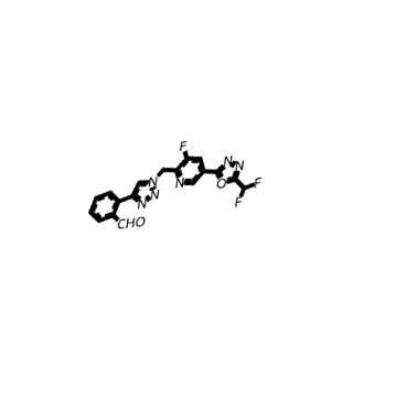 O=Cc1ccccc1-c1cn(Cc2ncc(-c3nnc(C(F)F)o3)cc2F)nn1